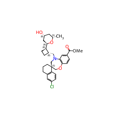 COC(=O)c1ccc2c(c1)N(C[C@@H]1CC[C@H]1[C@H]1C[C@H](O)C[C@H](C)O1)C[C@@]1(CCCc3cc(Cl)ccc31)CO2